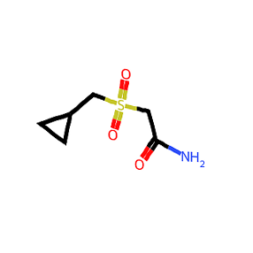 NC(=O)CS(=O)(=O)CC1CC1